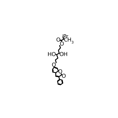 CC(C)C(C)C(=O)OCCCC(O)C(O)CCCOC1=CC2OC(=O)C(c3ccccc3)=CC2C=C1